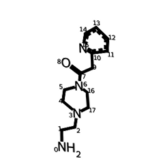 NCCN1CCN(C(=O)Cc2ccccn2)CC1